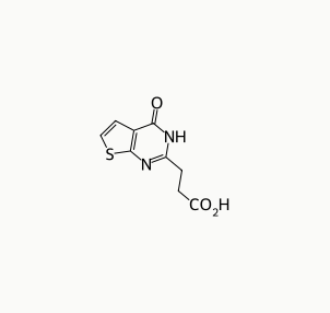 O=C(O)CCc1nc2sccc2c(=O)[nH]1